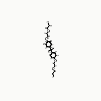 CCCOCCOc1ccc(C(C)(C)c2ccc(OCCOCCC)cc2)cc1